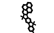 Cc1ccc2c(c1)C(C)(C)c1cc3c(cc1-2)C(C)(C)c1cc2ccc4cccc5ccc(c1-3)c2c45